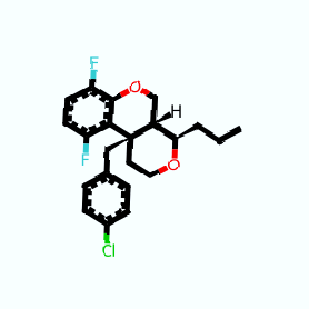 CCC[C@H]1OCC[C@]2(Cc3ccc(Cl)cc3)c3c(F)ccc(F)c3OC[C@H]12